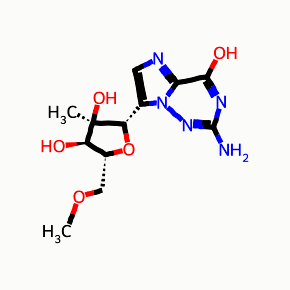 COC[C@H]1O[C@@H](c2cnc3c(O)nc(N)nn23)[C@](C)(O)[C@@H]1O